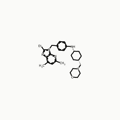 CCc1nc2c(C)cc(C)nc2n1Cc1ccc(N[C@H]2CC[C@@H](CN3CCOCC3)CC2)cc1